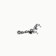 CCOC(=O)/C=C/c1ccc2c(nnn2CCOCCCOCc2ccccc2)c1C